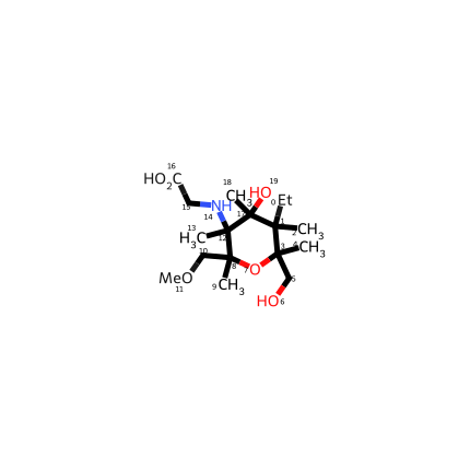 CCC1(C)C(C)(CO)OC(C)(COC)C(C)(NCC(=O)O)C1(C)O